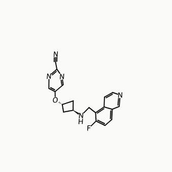 N#Cc1ncc(O[C@H]2C[C@H](NCc3c(F)ccc4cnccc34)C2)cn1